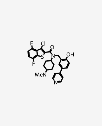 CNC1CCC(N(Cc2cc(-c3ccncc3)ccc2O)C(=O)c2sc3c(F)ccc(F)c3c2Cl)CC1